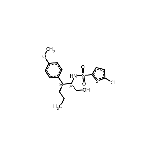 CCC[C@@H](c1ccc(OC)cc1)[C@@H](CO)NS(=O)(=O)c1ccc(Cl)s1